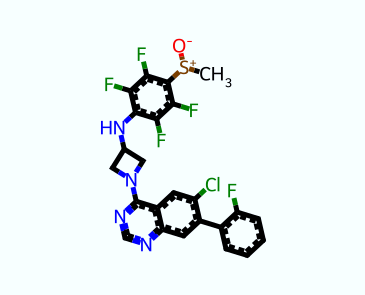 C[S+]([O-])c1c(F)c(F)c(NC2CN(c3ncnc4cc(-c5ccccc5F)c(Cl)cc34)C2)c(F)c1F